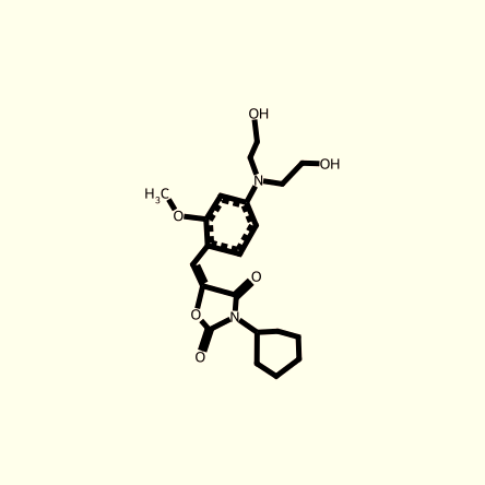 COc1cc(N(CCO)CCO)ccc1/C=C1/OC(=O)N(C2CCCCC2)C1=O